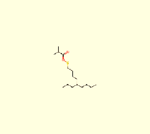 CCCCC(CCC)CCCCSOC(=O)C(C)C